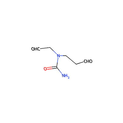 NC(=O)N(CC=O)CCC=O